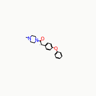 CN1CCN(C(=O)[CH]c2ccc(Oc3ccccc3)cc2)CC1